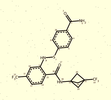 NC(=O)c1ccc(SNc2cc(C(F)(F)F)ccc2C(=O)NC23CC(C(F)(F)F)(C2)C3)cc1